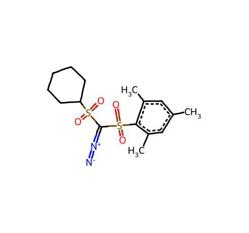 Cc1cc(C)c(S(=O)(=O)C(=[N+]=[N-])S(=O)(=O)C2CCCCC2)c(C)c1